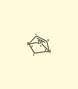 C1=C[N]2C[N]1[Zn]2